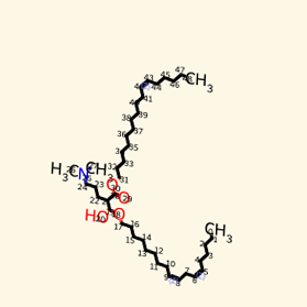 CCCCC/C=C\C/C=C\CCCCCCCCOC(O)C(CCCN(C)C)C(=O)OCCCCCCCCCCC/C=C\CCCCC